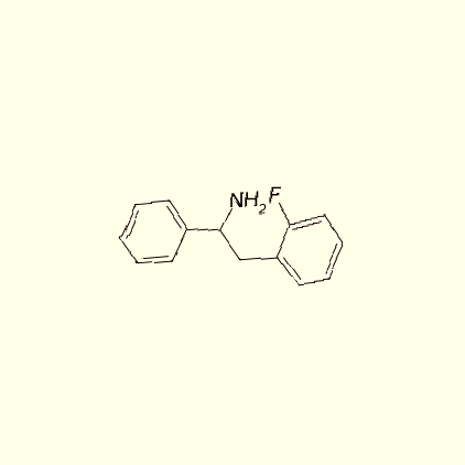 NC(Cc1ccccc1F)c1ccccc1